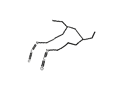 CCC(CCCN=C=O)CC(CC)CCCN=C=O